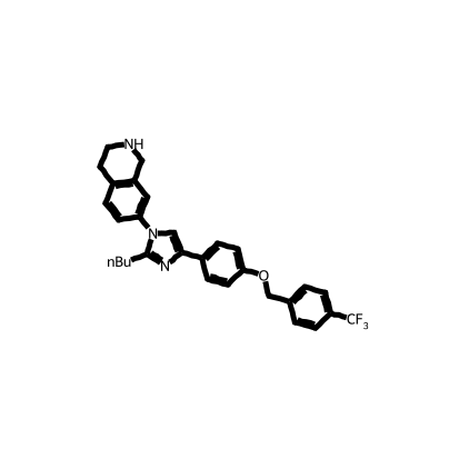 CCCCc1nc(-c2ccc(OCc3ccc(C(F)(F)F)cc3)cc2)cn1-c1ccc2c(c1)CNCC2